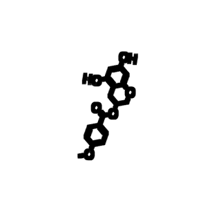 COc1ccc(C(=O)O[C@@H]2COc3cc(O)cc(O)c3C2)cc1